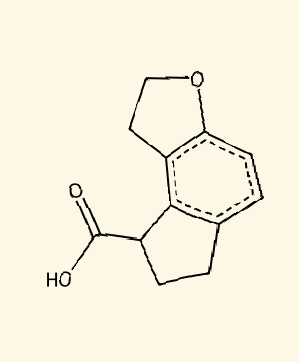 O=C(O)C1CCc2ccc3c(c21)CCO3